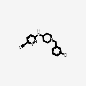 N#Cc1ccc(NC2CCN(Cc3cccc(Cl)c3)CC2)nn1